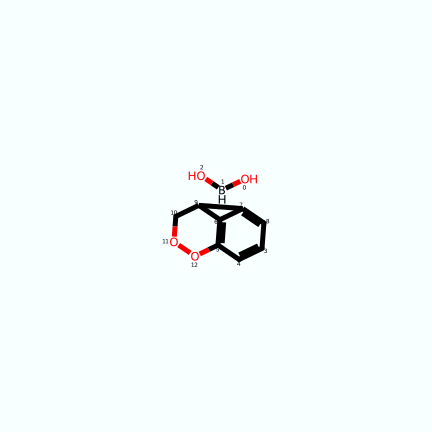 OBO.c1cc2c3c(c1)C3COO2